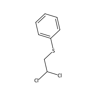 ClC(Cl)CSc1ccccc1